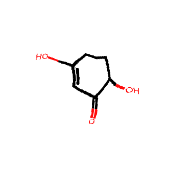 O=C1C=C(O)CCC1O